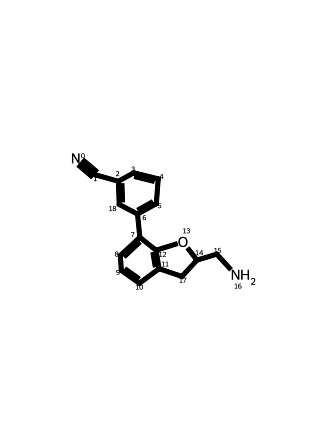 N#Cc1cccc(-c2cccc3c2OC(CN)C3)c1